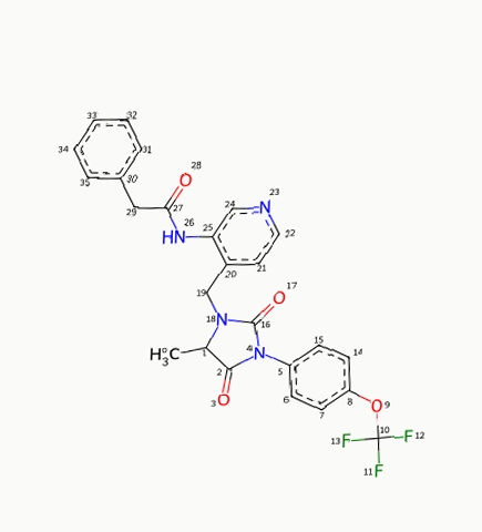 CC1C(=O)N(c2ccc(OC(F)(F)F)cc2)C(=O)N1Cc1ccncc1NC(=O)Cc1ccccc1